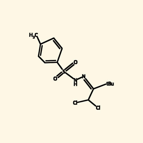 Cc1ccc(S(=O)(=O)N/N=C(\C(Cl)Cl)C(C)(C)C)cc1